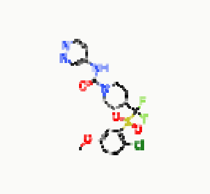 COc1ccc(Cl)c(S(=O)(=O)C(F)(F)C2CCN(C(=O)Nc3ccnnc3)CC2)c1